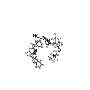 Cc1cc(N(C)c2ccc(-c3cnn(CC45CC6(C)CC(C)(C4)CC(OCCN4CCOCC4)(C6)C5)c3C)c(C(=O)O)n2)nnc1Nc1nc2ccccc2s1